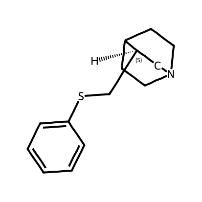 c1ccc(SC[C@@H]2CN3CCC2CC3)cc1